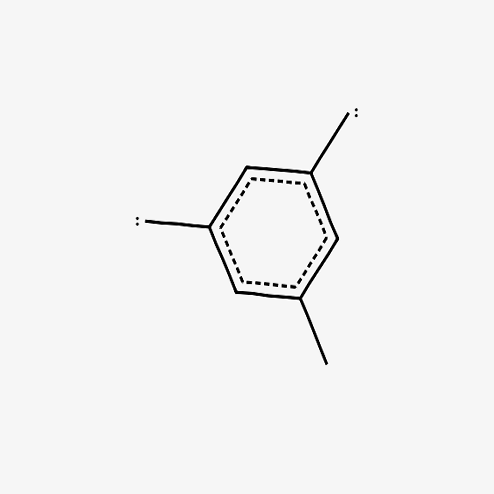 [CH]c1cc([CH])cc(C)c1